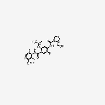 COc1ncc(C)c(NC(=O)c2cc(F)c(NC(=O)N3CCC[C@@H]3CO)cc2O[C@@H](C)C(F)(F)F)c1C